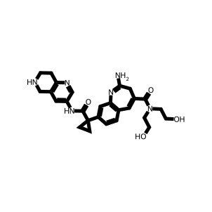 NC1=Nc2cc(C3(C(=O)Nc4cnc5c(c4)CNCC5)CC3)ccc2C=C(C(=O)N(CCO)CCO)C1